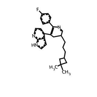 CC1(C)CC(CCCC2C=NC(c3ccc(F)cc3)=C(c3ccnc4[nH]ccc34)C2)C1